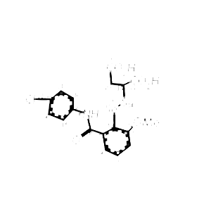 COc1cccc(C(=O)Nc2ccc(Cl)cc2)c1[Se]SC(CC(=O)O)C(=O)O